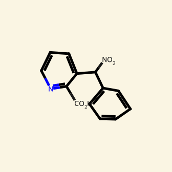 O=C(O)c1ncccc1C(c1ccccc1)[N+](=O)[O-]